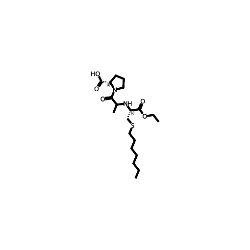 CCCCCCCSC[C@H](NC(C)C(=O)N1CCC[C@H]1C(=O)O)C(=O)OCC